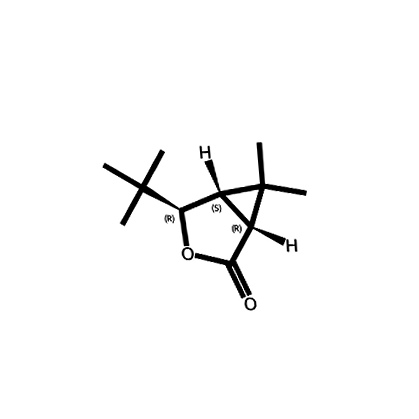 CC(C)(C)[C@@H]1OC(=O)[C@@H]2[C@H]1C2(C)C